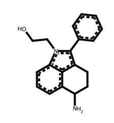 NC1CCc2c(-c3ccccc3)n(CCO)c3cccc1c23